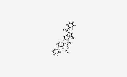 CC(C)CC(C(=O)N1CCC2C1C(=O)CN2C(=O)c1ccccc1)c1cccc(-c2ccccc2)c1